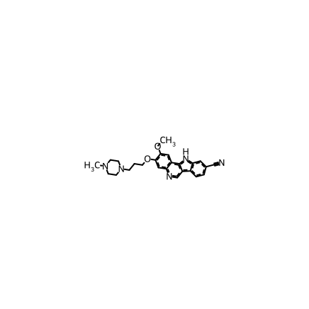 COc1cc2c(cc1OCCCN1CCN(C)CC1)ncc1c3ccc(C#N)cc3[nH]c21